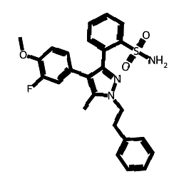 COc1ccc(-c2c(-c3ccccc3S(N)(=O)=O)nn(CCc3ccccc3)c2C)cc1F